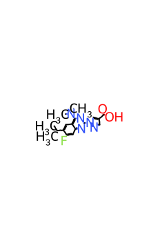 CC(C)c1cc2c(N(C)C)nc(-n3cc(C(=O)O)cn3)nc2cc1F